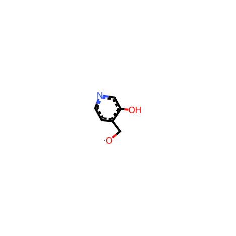 [O]Cc1ccncc1O